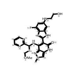 COCSC(Nc1c(-c2nc3c(F)cc(NCCO)cc3[nH]2)c(=O)[nH]c2cn(C)nc12)c1ncccn1